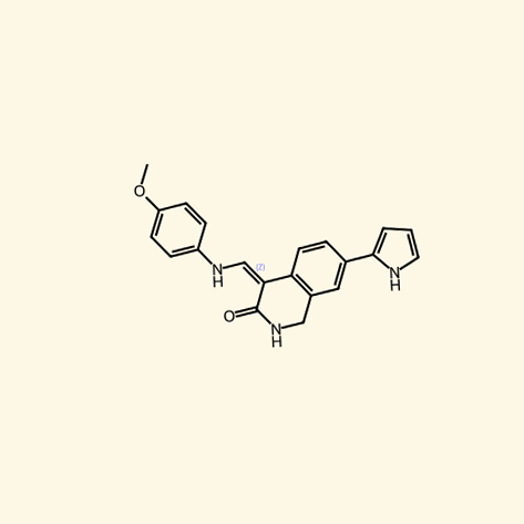 COc1ccc(N/C=C2\C(=O)NCc3cc(-c4ccc[nH]4)ccc32)cc1